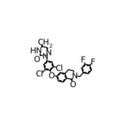 C=C1C=NN(c2cc(Cl)c(Oc3ccc4c(c3)CCN(Cc3ccc(F)c(F)c3)C4=O)c(Cl)c2)C(=O)N1